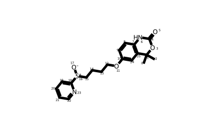 CC1(C)OC(=O)Nc2ccc(OCCCC[S+]([O-])c3ccccn3)cc21